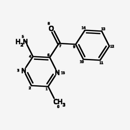 Cc1cnc(N)c(C(=O)c2ccccc2)n1